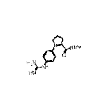 CNC(=O)C1CCCN1c1ccc(NC(=N)N)cc1